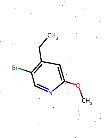 CCc1cc(OC)ncc1Br